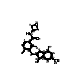 Cc1ccc(C(=O)NC2COC2)c(C)c1Cc1cc2c(C)cc(C#N)cc2n1C